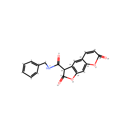 O=C(NCc1ccccc1)C1C(=O)Oc2cc3oc(=O)ccc3cc21